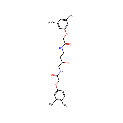 Bc1cc(OCC(=O)NCC(O)CCNC(=O)COc2cc(C)cc(C)c2)ccc1C